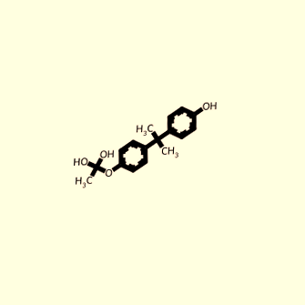 CC(O)(O)Oc1ccc(C(C)(C)c2ccc(O)cc2)cc1